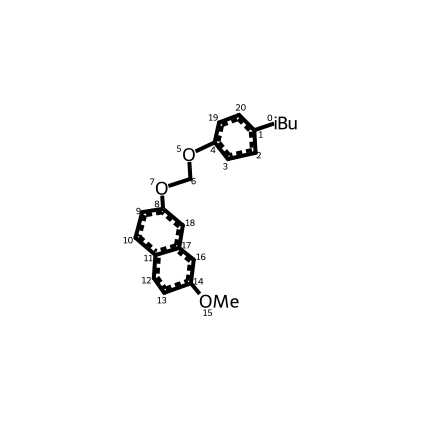 CCC(C)c1ccc(OCOc2ccc3ccc(OC)cc3c2)cc1